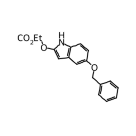 CCOC(=O)Oc1cc2cc(OCc3ccccc3)ccc2[nH]1